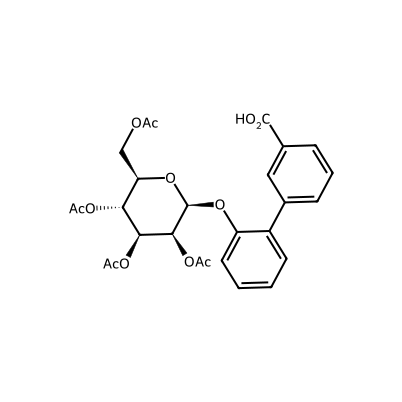 CC(=O)OC[C@H]1O[C@@H](Oc2ccccc2-c2cccc(C(=O)O)c2)[C@@H](OC(C)=O)[C@@H](OC(C)=O)[C@@H]1OC(C)=O